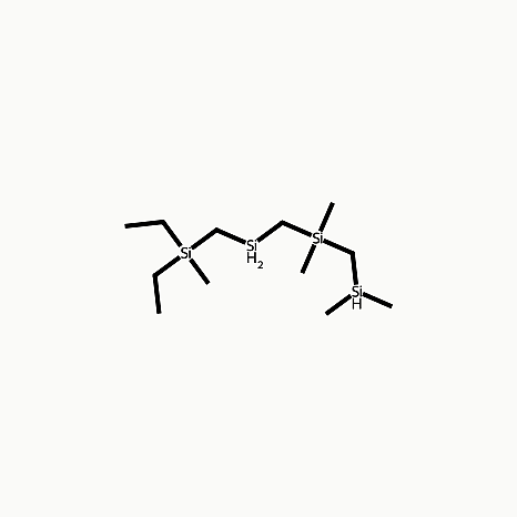 CC[Si](C)(CC)C[SiH2]C[Si](C)(C)C[SiH](C)C